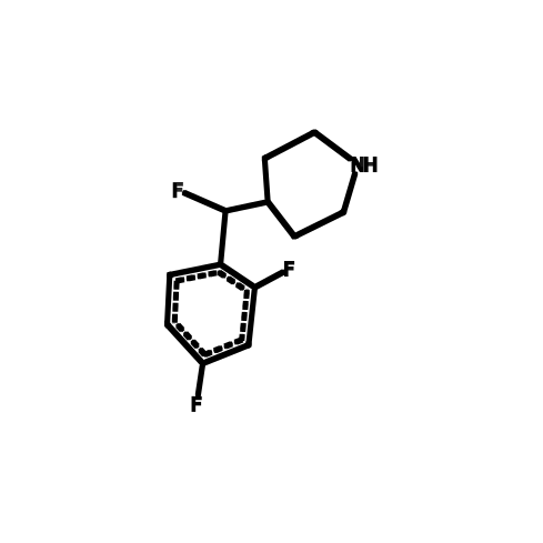 Fc1ccc(C(F)C2CCNCC2)c(F)c1